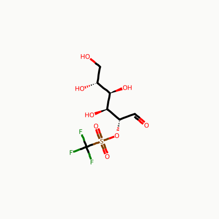 O=C[C@H](OS(=O)(=O)C(F)(F)F)[C@@H](O)[C@H](O)[C@H](O)CO